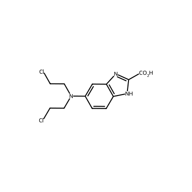 O=C(O)c1nc2cc(N(CCCl)CCCl)ccc2[nH]1